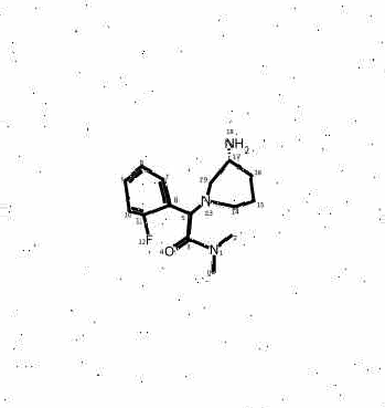 CN(C)C(=O)C(c1ccccc1F)N1CCC[C@@H](N)C1